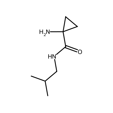 CC(C)CNC(=O)C1(N)CC1